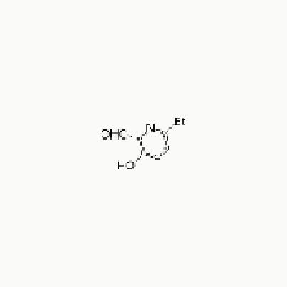 CCc1ccc(O)c(C=O)n1